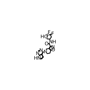 O=C(NC(CO)CC(F)(F)F)c1noc2c1CN(c1ncnc3[nH]ccc13)CC2